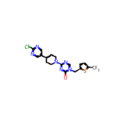 O=c1nc(N2CC=C(c3cnc(Cl)nc3)CC2)ncn1Cc1ccc(C(F)(F)F)s1